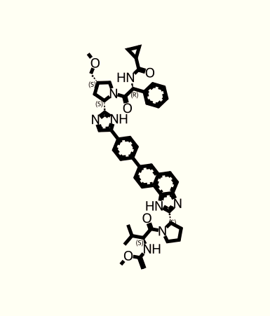 C=C(N[C@H](C(=O)N1CCC[C@H]1c1nc2ccc3cc(-c4ccc(-c5cnc([C@@H]6C[C@H](COC)CN6C(=O)[C@H](NC(=O)C6CC6)c6ccccc6)[nH]5)cc4)ccc3c2[nH]1)C(C)C)OC